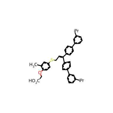 Cc1cc(SCC=C(c2ccc(-c3cccc(C(C)C)c3)cc2)c2ccc(-c3cccc(C(C)C)c3)cc2)ccc1OCC(=O)O